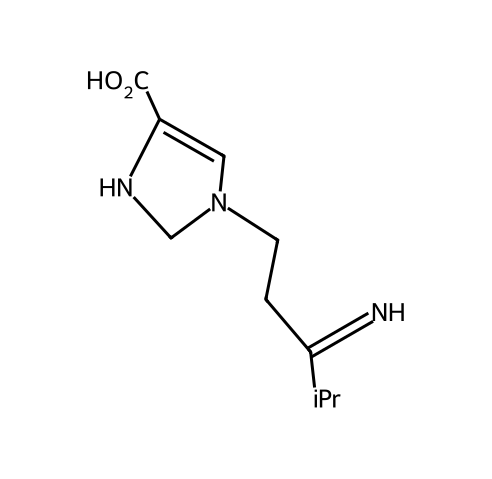 CC(C)C(=N)CCN1C=C(C(=O)O)NC1